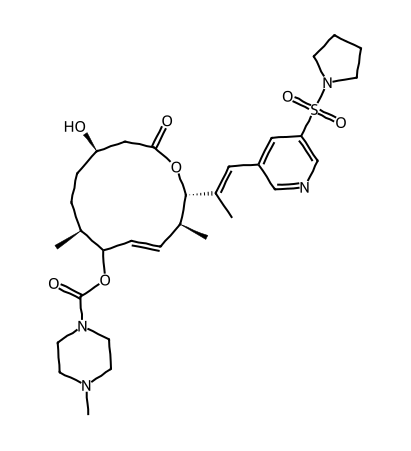 C/C(=C\c1cncc(S(=O)(=O)N2CCCC2)c1)[C@H]1OC(=O)C[C@H](O)CC[C@H](C)C(OC(=O)N2CCN(C)CC2)/C=C/[C@@H]1C